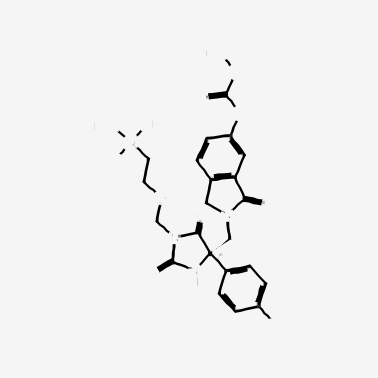 CC(C)(C)OC(=O)Oc1ccc2c(c1)C(=O)N(C[C@@]1(c3ccc(Br)cc3)NC(=O)N(COCC[Si](C)(C)C)C1=O)C2